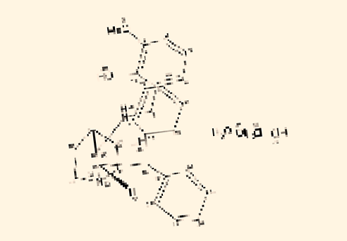 COc1cccc(CN[C@@H]2C3CCN(CC3)[C@H]2C(c2ccccc2)c2ccccc2)c1O.Cl.Cl.O.O